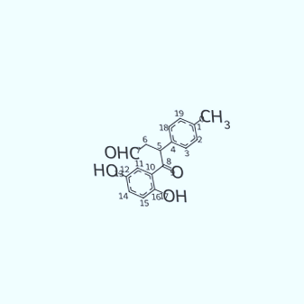 Cc1ccc(C(CC=O)C(=O)c2cc(O)ccc2O)cc1